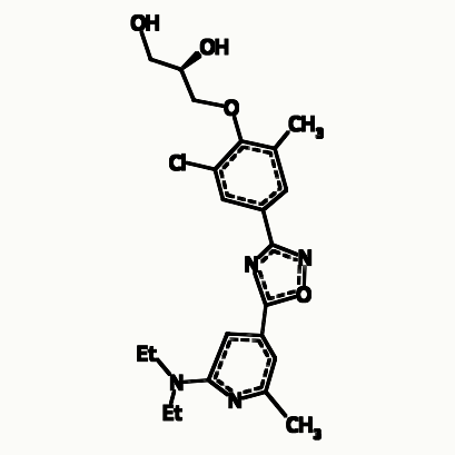 CCN(CC)c1cc(-c2nc(-c3cc(C)c(OC[C@H](O)CO)c(Cl)c3)no2)cc(C)n1